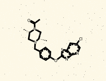 CC(=O)N1C[C@H](C)N(Cc2ccc(Oc3nc4ncc(Cl)cc4s3)cc2)C[C@@H]1C